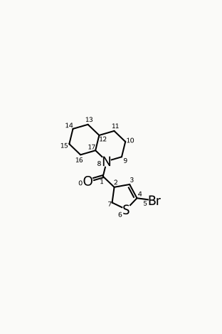 O=C(C1C=C(Br)SC1)N1CCCC2CCCCC21